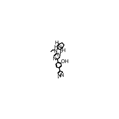 CCN(c1cnc(-c2ccc(-c3cnn(C)c3)cc2O)cn1)[C@H]1C[C@@H]2CC[C@@H](N2)[C@H]1F